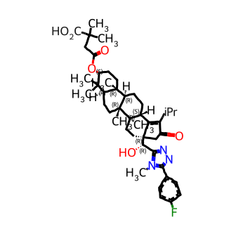 CC(C)C1=C2[C@H]3CC[C@@H]4[C@@]5(C)CC[C@H](OC(=O)CC(C)(C)C(=O)O)C(C)(C)[C@@H]5CC[C@@]4(C)[C@]3(C)CC[C@@]2([C@@H](O)c2nnc(-c3ccc(F)cc3)n2C)CC1=O